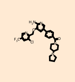 Nc1ncc(-c2ccc(C(=O)N3CCC(N4CCCC4)CC3)cc2)cc1OCc1ncc(C(F)(F)F)cc1Cl